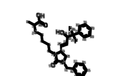 CC(SCCCCN1C(=O)N(Cc2ccccc2)C[C@@H]1C=CC(O)C(F)(F)c1ccccc1)C(=O)O